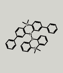 C[Si]1(C)c2ccccc2B(N2c3cc(-c4ccccc4)ccc3[Si](C)(C)c3ccc(-c4ccccc4)cc32)c2ccccc21